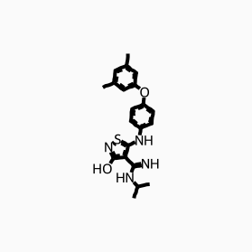 Cc1cc(C)cc(Oc2ccc(Nc3snc(O)c3C(=N)NC(C)C)cc2)c1